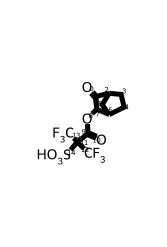 O=C1C2CCC(C2)C1OC(=O)C(C(F)(F)F)(C(F)(F)F)S(=O)(=O)O